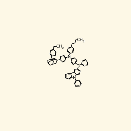 C=Cc1ccc(C23CC4CC(C2)CC(c2ccc(N(c5ccc(CCCC)cc5)c5ccc(N(c6ccccc6)c6ccc7c(c6)c6ccccc6n7-c6ccccc6)cc5)cc2)(C4)C3)cc1